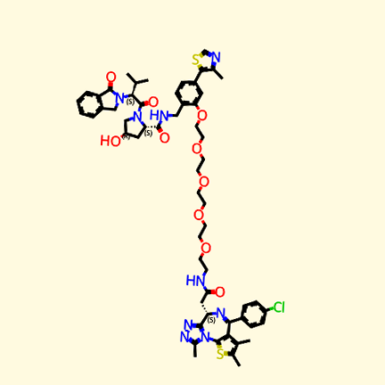 Cc1ncsc1-c1ccc(CNC(=O)[C@@H]2C[C@@H](O)CN2C(=O)[C@H](C(C)C)N2Cc3ccccc3C2=O)c(OCCOCCOCCOCCOCCNC(=O)C[C@@H]2N=C(c3ccc(Cl)cc3)c3c(sc(C)c3C)-n3c(C)nnc32)c1